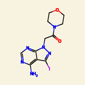 Nc1ncnc2c1c(I)nn2CC(=O)N1CCOCC1